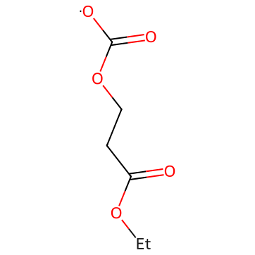 CCOC(=O)CCOC([O])=O